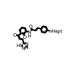 CCCCCCCc1ccc(C=CC(=O)Nc2cccc3c(=O)cc(-c4nnn[nH]4)oc23)cc1